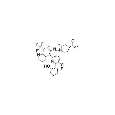 C=CC(=O)N1CCN(c2nc(=O)n(-c3c(C)ccnc3C(C)C(F)(F)F)c3nc(-c4c(O)cccc4F)c(Cl)cc23)[C@@H](C)C1